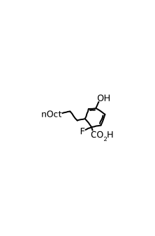 CCCCCCCCCCC1C=C(O)C=CC1(F)C(=O)O